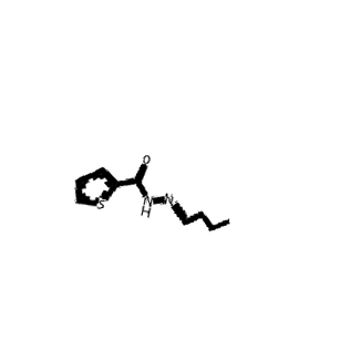 CCC/C=N/NC(=O)c1cccs1